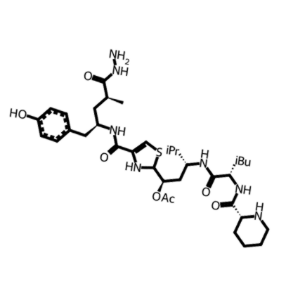 CCC(C)[C@H](NC(=O)[C@H]1CCCCN1)C(=O)N[C@H](C[C@@H](OC(C)=O)C1NC(C(=O)N[C@@H](Cc2ccc(O)cc2)C[C@H](C)C(=O)NN)=CS1)C(C)C